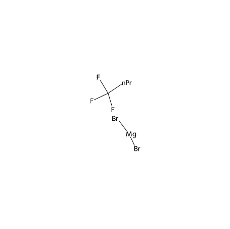 [Br][Mg][Br].[CH2]CCC(F)(F)F